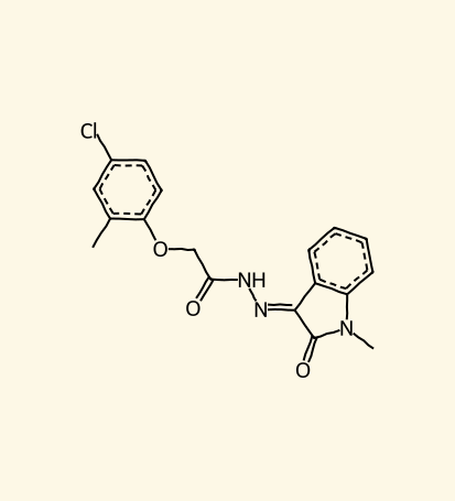 Cc1cc(Cl)ccc1OCC(=O)N/N=C1/C(=O)N(C)c2ccccc21